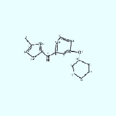 Cc1csc(Nc2cc(OC3CCCCC3)ccn2)n1